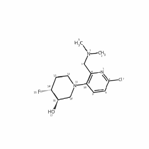 CN(C)Cc1nc(Cl)ccc1N1CC[C@@H](F)[C@H](O)C1